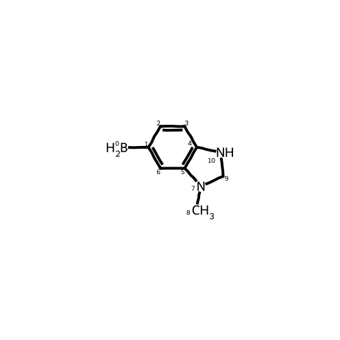 Bc1ccc2c(c1)N(C)CN2